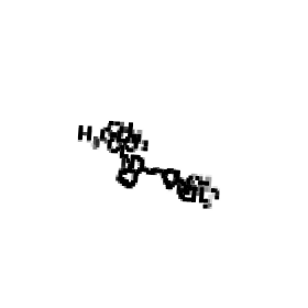 CN(C)c1ccc(/C=C/c2cc[n+](CC(=O)OC(C)(C)C)c3ccccc23)cc1